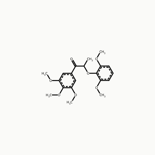 COc1cc(C(=O)C(C)Oc2c(OC)cccc2OC)cc(OC)c1OC